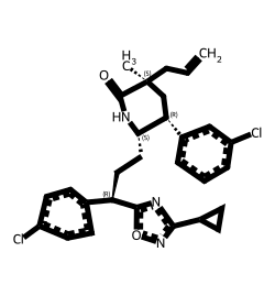 C=CC[C@@]1(C)C[C@H](c2cccc(Cl)c2)[C@H](CC[C@H](c2ccc(Cl)cc2)c2nc(C3CC3)no2)NC1=O